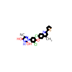 Cc1cc(-c2cccs2)nc2ccc(Oc3c(Cl)cc(N4N=C(C#N)C(O)NC4O)cc3Cl)cc12